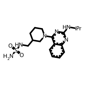 CC(C)Nc1nc(N2CCCC(CNS(N)(=O)=O)C2)c2ccccc2n1